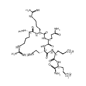 CSCC[C@H](NC(=O)[C@H](CCC(N)=O)NC(=O)[C@H](CCCNC(=N)N)NC(=O)[C@H](CCCNC(=N)N)NC(C)=O)C(=O)N[C@@H](CCC(=O)O)C(=O)N[C@@H](CCC(=O)O)C(N)=O